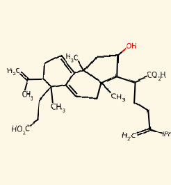 C=C(CCC(C(=O)O)C1C(O)CC2(C)C3=CCC(C(=C)C)C(C)(CCC(=O)O)C3=CCC12C)C(C)C